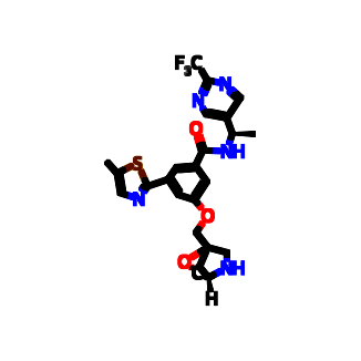 Cc1cnc(-c2cc(OCC34CN[C@H](CO3)C4)cc(C(=O)N[C@H](C)c3cnc(C(F)(F)F)nc3)c2)s1